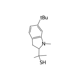 CN1c2cc(C(C)(C)C)ccc2CC1C(C)(C)S